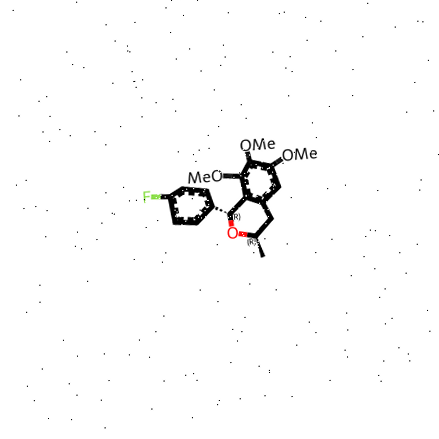 COc1cc2c(c(OC)c1OC)[C@@H](c1ccc(F)cc1)O[C@H](C)C2